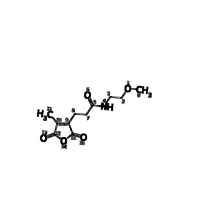 COCCNC(=O)CCC1=C(C)C(=O)OC1=O